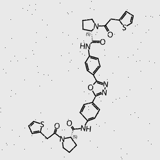 O=C(Nc1ccc(-c2nnc(-c3ccc(NC(=O)[C@@H]4CCCN4C(=O)Cc4cccs4)cc3)o2)cc1)[C@@H]1CCCN1C(=O)Cc1cccs1